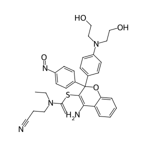 C=C(SC1=C(N)c2ccccc2OC1(c1ccc(N=O)cc1)c1ccc(N(CCO)CCO)cc1)N(CC)CCC#N